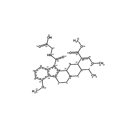 CCC1CN2CCc3c(n(C(=O)NCC(=O)O)c4cccc(OC)c34)C2CC1/C(=C\OC)C(=O)OC